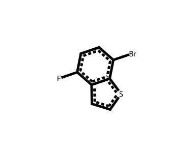 Fc1ccc(Br)c2sccc12